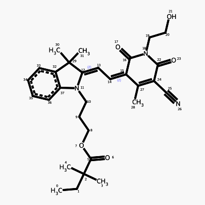 CCC(C)(C)C(=O)OCCCN1/C(=C\C=C2/C(=O)N(CCO)C(=O)C(C#N)=C2C)C(C)(C)c2ccccc21